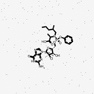 CCCC(C)CN(C(C)C(=O)O)[P@@](=O)(OC[C@H]1O[C@@H](n2cnc3c(=O)[nH]c(N)nc32)[C@](C)(Cl)[C@@H]1O)Oc1ccccc1